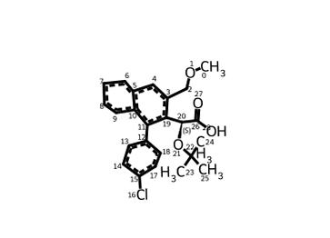 COCc1cc2ccccc2c(-c2ccc(Cl)cc2)c1[C@H](OC(C)(C)C)C(=O)O